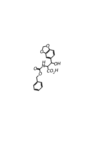 O=C(NC(C(=O)O)C(O)c1ccc2c(c1)OCO2)OCc1ccccc1